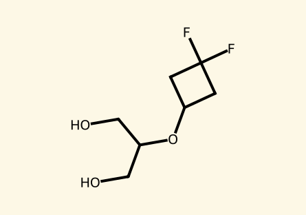 OCC(CO)OC1CC(F)(F)C1